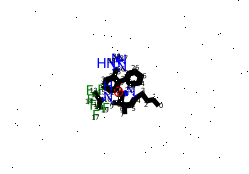 CCCCc1cc(C)c(CNC(C(F)(F)F)C(F)(F)F)c(=O)n1-c1ccccc1-c1ccccc1-c1nnn[nH]1